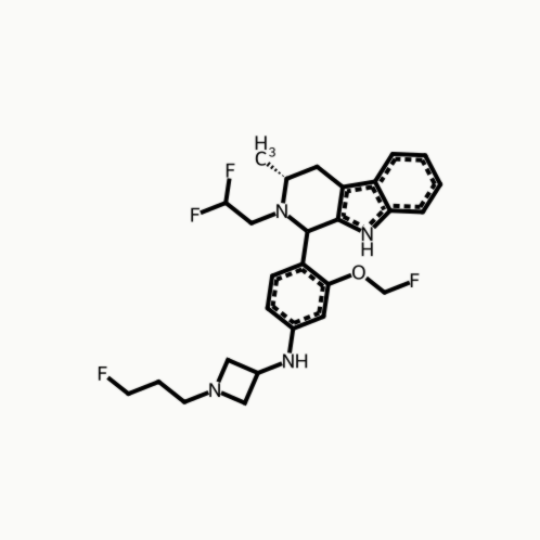 C[C@@H]1Cc2c([nH]c3ccccc23)C(c2ccc(NC3CN(CCCF)C3)cc2OCF)N1CC(F)F